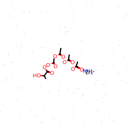 CC(=O)[O-].CC(=O)[O-].CC(=O)[O-].CC(=O)[O-].CC(O)C(=O)[O-].[NH4+].[Zr+4]